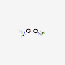 O=CN(SC(F)(Cl)Cl)c1ccc(Oc2ccc(N(C=O)SC(F)(Cl)Cl)cc2)cc1